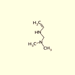 C=CNCN(C)C